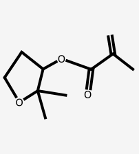 C=C(C)C(=O)OC1CCOC1(C)C